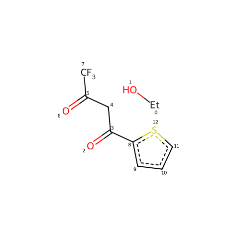 CCO.O=C(CC(=O)C(F)(F)F)c1cccs1